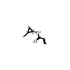 C=CC(=O)O[C@@H]1CC1C